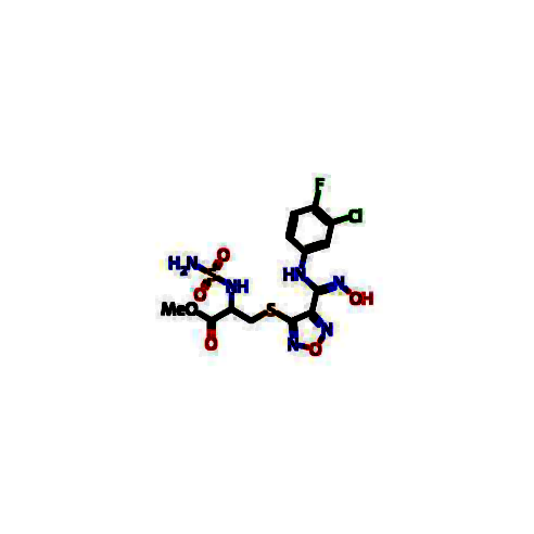 COC(=O)C(CSc1nonc1/C(=N\O)Nc1ccc(F)c(Cl)c1)NS(N)(=O)=O